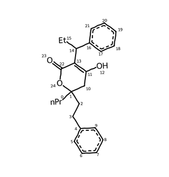 CCCC1(CCc2ccccc2)CC(O)=C(C(CC)c2ccccc2)C(=O)O1